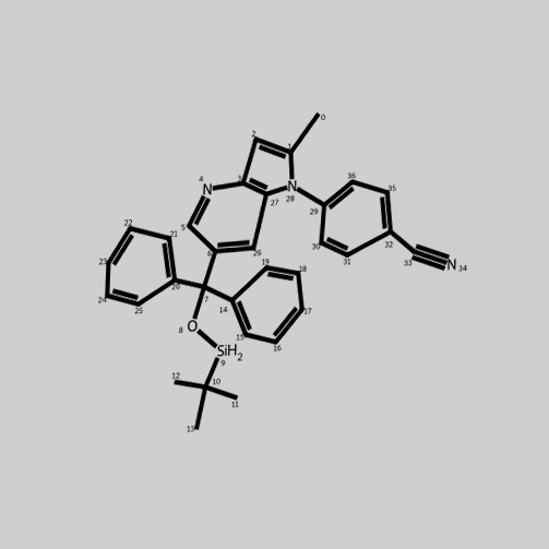 Cc1cc2ncc(C(O[SiH2]C(C)(C)C)(c3ccccc3)c3ccccc3)cc2n1-c1ccc(C#N)cc1